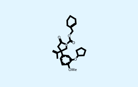 C=C(C)C1(c2ccc(OC)c(OC3CCCC3)c2)CC(=O)N(C(=O)OCC2=CCCCC2)C1